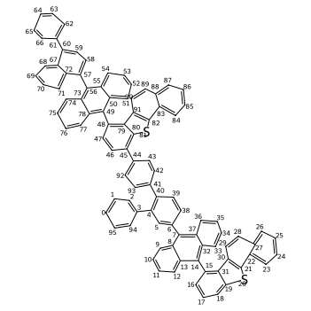 c1ccc(-c2cc(-c3c4ccccc4c(-c4cccc5sc6c7ccccc7ccc6c45)c4ccccc34)ccc2-c2ccc(-c3ccc(-c4c5ccccc5c(-c5ccc(-c6ccccc6)c6ccccc56)c5ccccc45)c4c3sc3c5ccccc5ccc34)cc2)cc1